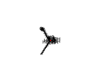 CCCCCCCCCCCCCC[C@@H](O)[C@@H](O)[C@H](COC1OC(CO)C(O)C(O)C1O)N[C@@H](CCCCCCCCCCN1CCOCC1)C(F)(F)F